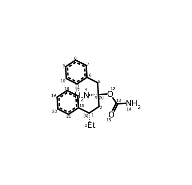 CC[C@@H](C[C@@](N)(Cc1ccccc1)OC(N)=O)c1ccccc1